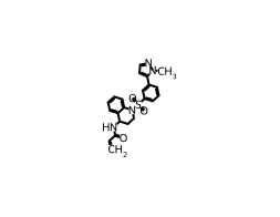 C=CC(=O)NC1CCN(S(=O)(=O)c2cccc(-c3ccnn3C)c2)c2ccccc21